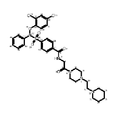 O=C(NCC(=O)N1CCN(CCN2CCCCC2)CC1)c1ccc(S(=O)(=O)N(Oc2ccc(Cl)cc2Cl)c2ccccc2)cc1